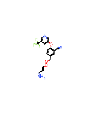 N#Cc1cc(COOC=CCN)ccc1Oc1cncc(C(F)(F)F)c1